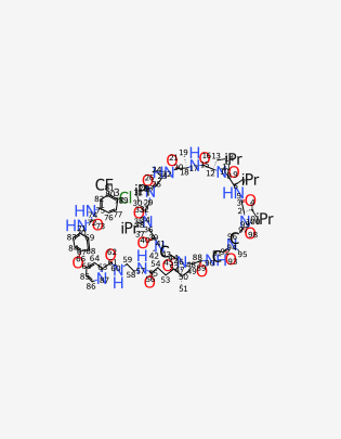 CC(C)C[C@H]1C(=O)NC(C(C)C)C(=O)N(C)[C@@H](CC(C)C)C(=O)N[C@@H](C)C(=O)N[C@H](C)C(=O)N(C)[C@@H](CC(C)C)C(=O)N(C)[C@@H](CC(C)C)C(=O)N(C)CC(=O)N(C)[C@@H](C[C@H](C)CCCC(=O)NCCNC(=O)c2cc(Oc3ccc(NC(=O)Nc4ccc(Cl)c(C(F)(F)F)c4)cc3)ccn2)C(=O)NCC(=O)N(C)CC(=O)N1C